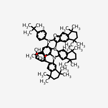 CC(C)(C)c1ccc(N2c3cc(C(C)(C)C)cc4c3B(c3cc5c(cc3N4c3cc4c(cc3-c3ccccc3)C(C)(C)CCC4(C)C)C(C)(C)CCC5(C)C)c3c2oc2cc4c(cc32)C(C)(C)CCC4(C)C)cc1